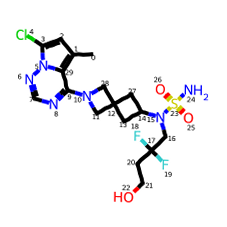 Cc1cc(Cl)n2ncnc(N3CC4(CC(N(CC(F)(F)CCO)S(N)(=O)=O)C4)C3)c12